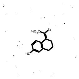 CCC(C(=O)O)=C1CCCc2cc(O)ccc21